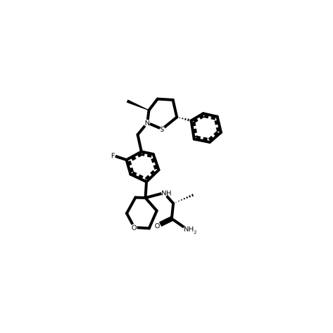 C[C@@H](NC1(c2ccc(CN3S[C@@H](c4ccccc4)CC[C@@H]3C)c(F)c2)CCOCC1)C(N)=O